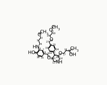 COCCCNc1cc(CO[C@H]2CNC[C@@H](OCCC(C)O)C2c2ccc(COCCOC)cc2)ccc1O